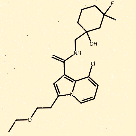 C=C(NCC1(O)CCCC(C)(F)C1)c1cc(CCOCC)n2cccc(Cl)c12